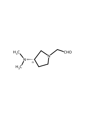 CN(C)[C@H]1CCN(CC=O)C1